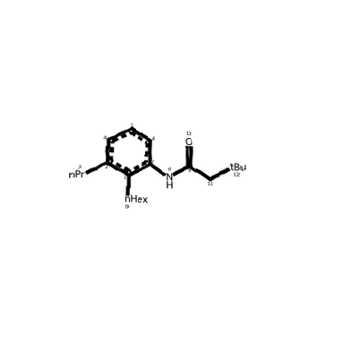 CCCCCCc1c(CCC)cccc1NC(=O)CC(C)(C)C